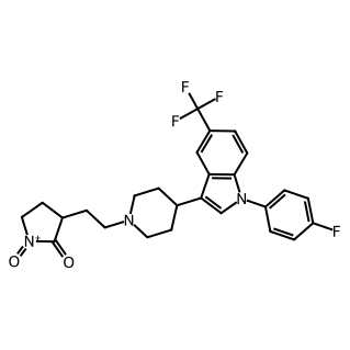 O=C1C(CCN2CCC(c3cn(-c4ccc(F)cc4)c4ccc(C(F)(F)F)cc34)CC2)CC[N+]1=O